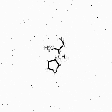 C1CCOC1.[Li][CH2]C(C)C